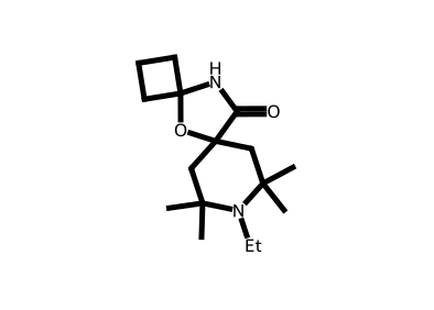 CCN1C(C)(C)CC2(CC1(C)C)OC1(CCC1)NC2=O